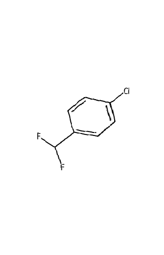 FC(F)c1ccc(Cl)cc1